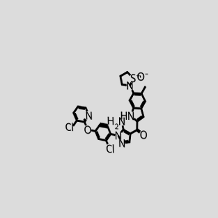 Cc1cc2cc(C(=O)c3cnn(-c4c#cc(Oc5ncccc5Cl)cc4Cl)c3N)[nH]c2cc1N1CCC[S+]1[O-]